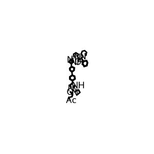 CC(=O)CCC(=O)N1CCC[C@H]1c1ncc(-c2ccc(-c3ccc(-c4cnc([C@@H]5CCCN5C(=O)C(c5ccccc5)N5CCCCC5)[nH]4)cc3)cc2)[nH]1